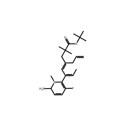 C=CC/C(=C\C(=C/C)C1=C(F)C=CC(N)N1C)CC(C)(C)C(=O)OC(C)(C)C